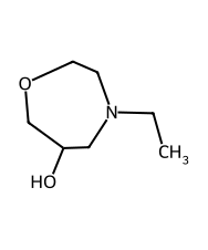 CCN1CCOCC(O)C1